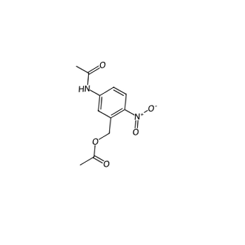 CC(=O)Nc1ccc([N+](=O)[O-])c(COC(C)=O)c1